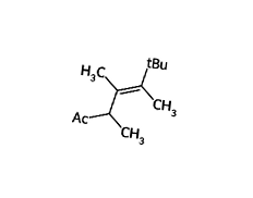 CC(=O)C(C)/C(C)=C(\C)C(C)(C)C